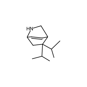 CC(C)C1(C(C)C)CC2C=CC1CN2